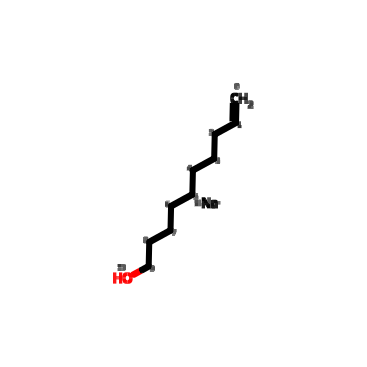 C=CCCCCCCCCO.[Na]